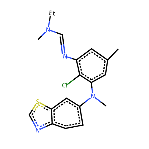 CCN(C)C=Nc1cc(C)cc(N(C)c2ccc3ncsc3c2)c1Cl